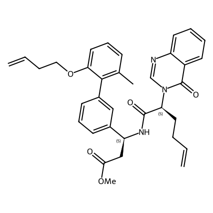 C=CCCOc1cccc(C)c1-c1cccc([C@H](CC(=O)OC)NC(=O)[C@H](CCC=C)n2cnc3ccccc3c2=O)c1